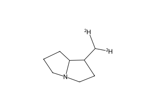 [2H]C([2H])C1CCN2CCCC12